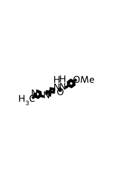 COc1ccc(CNC(=O)NC2CC3(C2)CN(Cc2ccnc(C)c2)C3)cc1